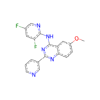 COc1ccc2nc(-c3cccnc3)nc(Nc3ncc(F)cc3F)c2c1